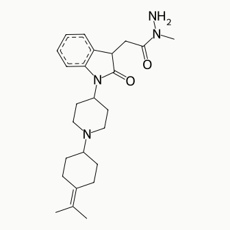 CC(C)=C1CCC(N2CCC(N3C(=O)C(CC(=O)N(C)N)c4ccccc43)CC2)CC1